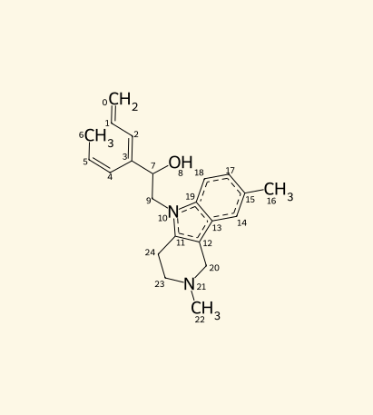 C=C/C=C(\C=C/C)C(O)Cn1c2c(c3cc(C)ccc31)CN(C)CC2